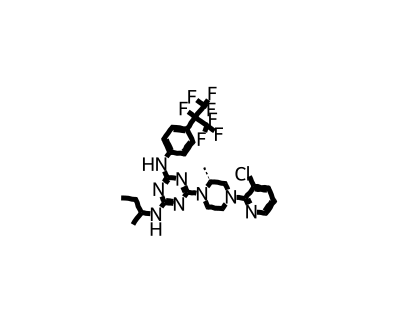 CCC(C)Nc1nc(Nc2ccc(C(F)(C(F)(F)F)C(F)(F)F)cc2)nc(N2CCN(c3ncccc3Cl)C[C@H]2C)n1